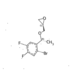 C[C@@H](OC[C@H]1CO1)c1cc(F)c(F)cc1Br